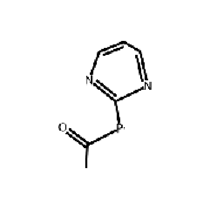 CC(=O)[P]c1ncccn1